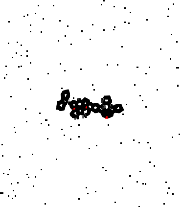 CC1C=c2c(c3ccccc3n2-c2ncccc2-n2c3ccccc3c3ccccc32)=CC1c1cnc2c(c1)C1(c3ccccc3Oc3cc(-n4c5ccccc5c5ccccc54)ccc31)c1cccnc1-2